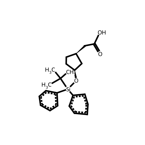 CC(C)(C)[Si](O[C@H]1CC[C@@H](CC(=O)O)C1)(c1ccccc1)c1ccccc1